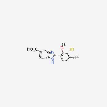 CCCc1ccc(-c2nc3cc(C(=O)O)ccc3[nH]2)c(OCC)c1S